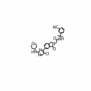 CC(C)(NC(=O)CN1Cc2ccc(-c3nc(NC4CCOCC4)ncc3Cl)cc2C1=O)c1cccc(C#N)c1